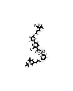 CC(C)(C)N1CC(CCNc2cccc(S(=O)(=O)NC(=O)c3ccc(-n4ccc(OCCCC5(C(F)(F)F)CC5)n4)nc3Cl)n2)CC1(C)C